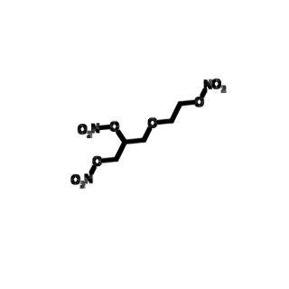 O=[N+]([O-])OCCOCC(CO[N+](=O)[O-])O[N+](=O)[O-]